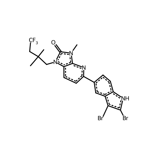 Cn1c(=O)n(CC(C)(C)CC(F)(F)F)c2ccc(-c3ccc4[nH]c(Br)c(Br)c4c3)nc21